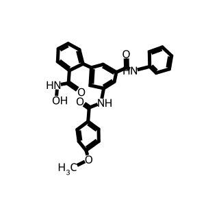 COc1ccc(C(=O)Nc2cc(C(=O)Nc3ccccc3)cc(-c3ccccc3C(=O)NO)c2)cc1